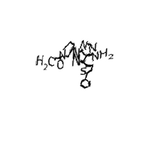 C=CC(=O)N1CCC[C@@H](n2nc(-c3ccc(-c4ccccc4)s3)c3c(N)ncnc32)C1